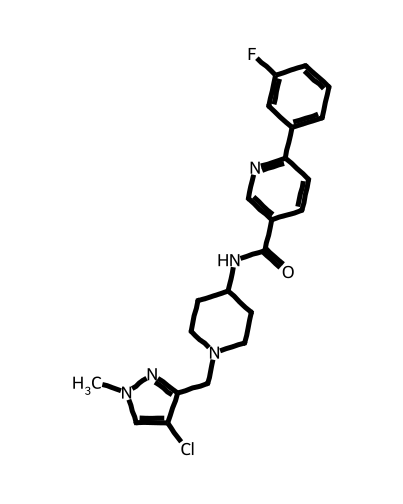 Cn1cc(Cl)c(CN2CCC(NC(=O)c3ccc(-c4cccc(F)c4)nc3)CC2)n1